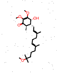 COC1=C(OC)[C@H](O)[C@H](C/C=C(\C)CC/C=C(\C)CCCC(C)(C)OC)[C@@H](C)C1=O